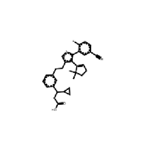 CC1(C)CCC=C1c1c(CCc2cccc(C(CC(=O)O)C3CC3)c2)csc1-c1cc(C#N)ccc1F